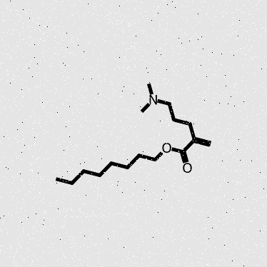 C=C(CCCN(C)C)C(=O)OCCCCCCCC